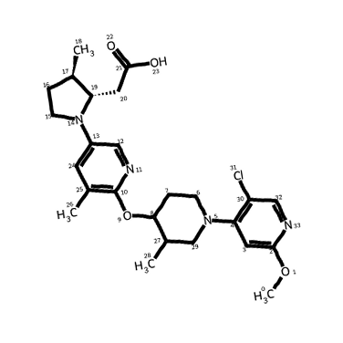 COc1cc(N2CCC(Oc3ncc(N4CC[C@@H](C)[C@@H]4CC(=O)O)cc3C)C(C)C2)c(Cl)cn1